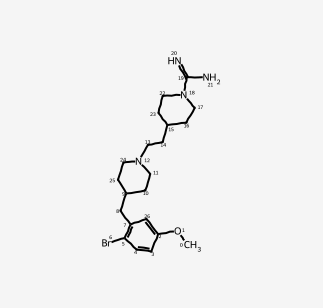 COc1ccc(Br)c(CC2CCN(CCC3CCN(C(=N)N)CC3)CC2)c1